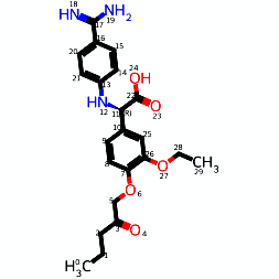 CCCC(=O)COc1ccc([C@@H](Nc2ccc(C(=N)N)cc2)C(=O)O)cc1OCC